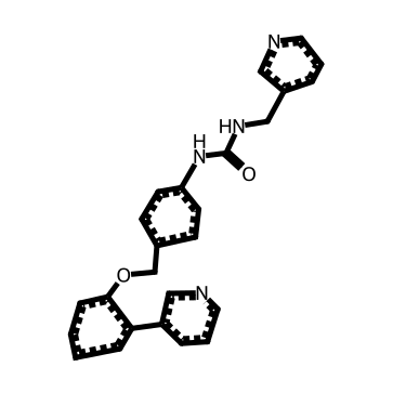 O=C(NCc1cccnc1)Nc1ccc(COc2ccccc2-c2cccnc2)cc1